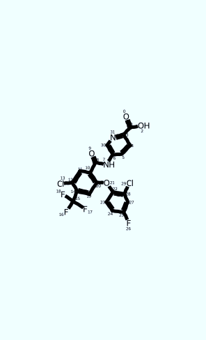 O=C(O)c1ccc(NC(=O)c2cc(Cl)c(C(F)(F)F)cc2Oc2ccc(F)cc2Cl)cn1